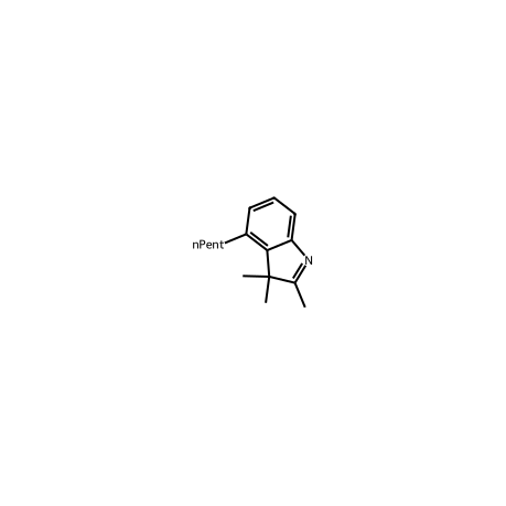 CCCCCc1cccc2c1C(C)(C)C(C)=N2